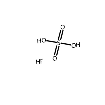 F.O=S(=O)(O)O